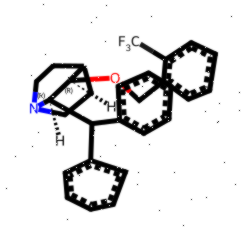 FC(F)(F)c1ccccc1CO[C@@H]1C2CCN(CC2)[C@@H]1C(c1ccccc1)c1ccccc1